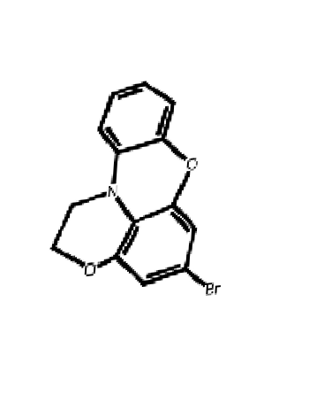 Brc1cc2c3c(c1)Oc1ccccc1N3CCO2